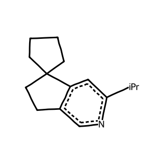 CC(C)c1cc2c(cn1)CCC21CCCC1